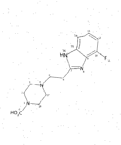 O=C(O)N1CCN(CCc2nc3c(F)cccc3[nH]2)CC1